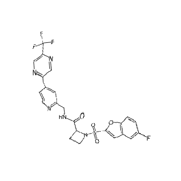 O=C(NCc1cc(-c2cnc(C(F)(F)F)cn2)ccn1)C1CCN1S(=O)(=O)c1cc2cc(F)ccc2o1